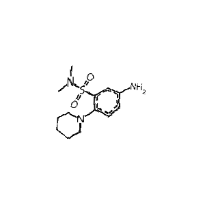 CN(C)S(=O)(=O)c1cc(N)ccc1N1CCCCC1